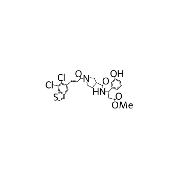 COC(=O)CC(NC(=O)C1CCN(C(=O)C=Cc2cc3ccsc3c(Cl)c2Cl)CC1)c1cccc(O)c1